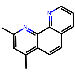 Cc1cc(C)c2ccc3cccnc3c2n1